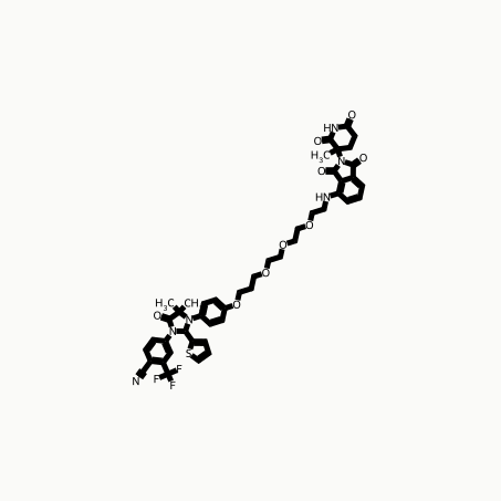 CC1(C)C(=O)N(c2ccc(C#N)c(C(F)(F)F)c2)C(c2cccs2)N1c1ccc(OCCCOCCOCCOCCNc2cccc3c2C(=O)N(C2(C)CCC(=O)NC2=O)C3=O)cc1